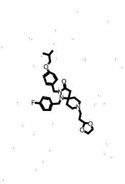 CC(C)COc1ccc(CN2C(=O)CC3(CCN(CCC4OCCO4)CC3)N2Cc2ccc(F)cc2)cc1